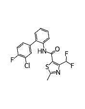 Cc1nc(C(F)F)c(C(=O)Nc2ccccc2-c2ccc(F)c(Cl)c2)s1